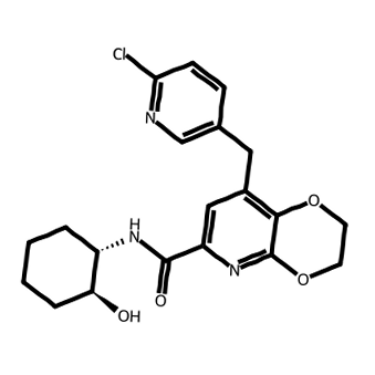 O=C(N[C@H]1CCCC[C@@H]1O)c1cc(Cc2ccc(Cl)nc2)c2c(n1)OCCO2